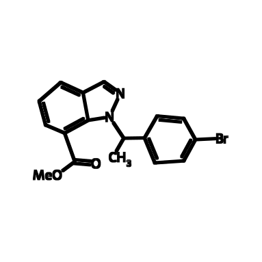 COC(=O)c1cccc2cnn(C(C)c3ccc(Br)cc3)c12